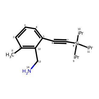 Cc1cccc(C#C[Si](C(C)C)(C(C)C)C(C)C)c1CN